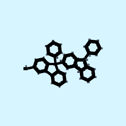 N#Cc1ccc2c(c1)-c1ccccc1C2(c1ccccc1)c1ccc2c(c1)c1ccccc1n2-c1ccccc1